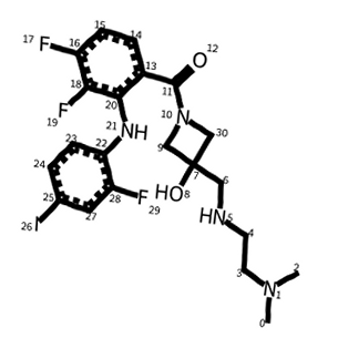 CN(C)CCNCC1(O)CN(C(=O)c2ccc(F)c(F)c2Nc2ccc(I)cc2F)C1